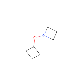 C1C[C](ON2CCC2)C1